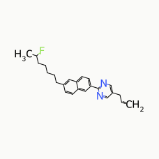 C=CCc1cnc(-c2ccc3cc(CCCCCC(C)F)ccc3c2)nc1